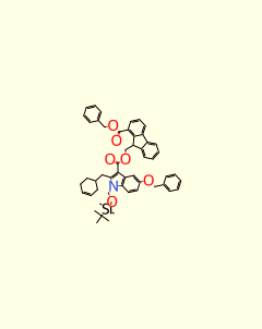 CC(C)(C)[Si](C)(C)OCn1c(CC2CC=CCC2)c(C(=O)OCC2c3ccccc3-c3cccc(C(=O)OCc4ccccc4)c32)c2cc(OCc3ccccc3)ccc21